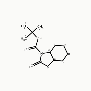 CC(C)(C)OC(=O)N1C(=O)CC2CCCCC21